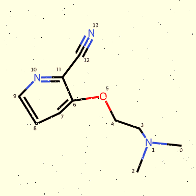 CN(C)CCOc1cccnc1C#N